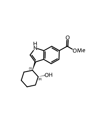 COC(=O)c1ccc2c([C@@H]3CCCC[C@H]3O)c[nH]c2c1